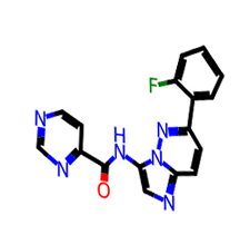 O=C(Nc1cnc2ccc(-c3ccccc3F)nn12)c1ccncn1